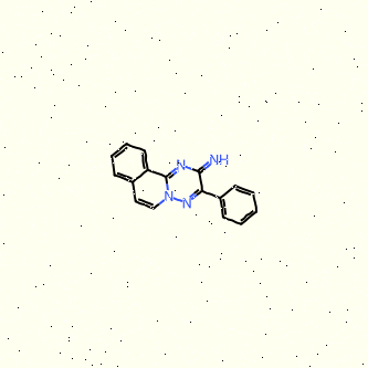 N=c1nc2c3ccccc3ccn2nc1-c1ccccc1